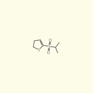 CC(C)S(=O)(=O)C1=CCCS1